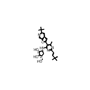 Cc1nc(CCC(C)(C)C)nc(N[C@@H]2C[C@H](CO)[C@@H](O)[C@H]2O)c1-c1cc2cc(C(C)(C)C)ncc2o1